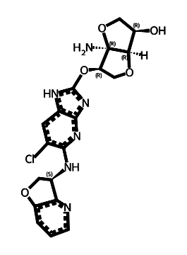 N[C@]12OC[C@@H](O)[C@H]1OC[C@H]2Oc1nc2nc(N[C@@H]3COc4cccnc43)c(Cl)cc2[nH]1